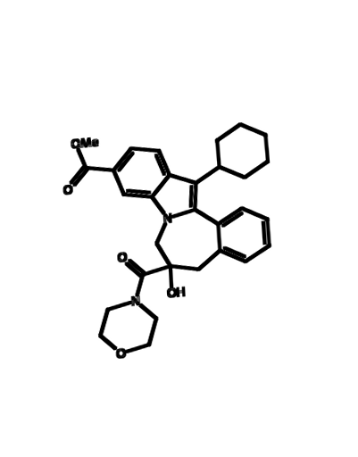 COC(=O)c1ccc2c(C3CCCCC3)c3n(c2c1)CC(O)(C(=O)N1CCOCC1)Cc1ccccc1-3